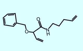 C=CCCCNC(=O)C(C=C)OCc1ccccc1